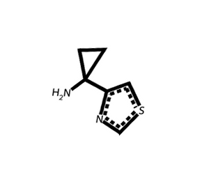 NC1(c2cs[c]n2)CC1